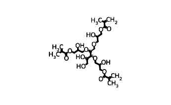 C=C(C)C(=O)OCC(O)COC[C@H](OCC(O)COC(=O)C(=C)C)[C@H](OCC(O)COC(=O)C(=C)C)[C@H](O)CO